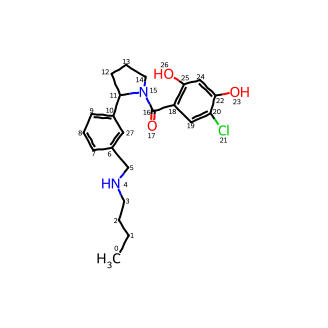 CCCCNCc1cccc(C2CCCN2C(=O)c2cc(Cl)c(O)cc2O)c1